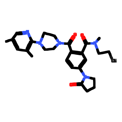 Cc1cnc(N2CCN(C(=O)c3ccc(N4CCCC4=O)cc3C(=O)N(C)CCC#N)CC2)c(C)c1